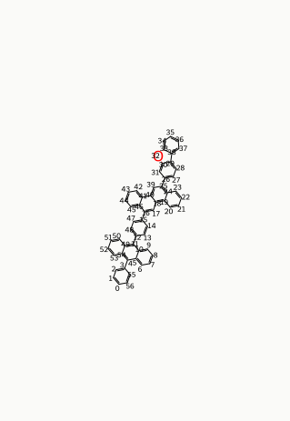 c1ccc(-c2c3ccccc3c(-c3ccc(-c4cc5c6ccccc6c(-c6ccc7c(c6)oc6ccccc67)cc5c5ccccc45)cc3)c3ccccc23)cc1